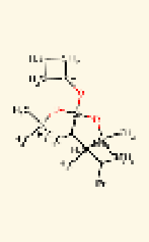 C[C](C(C)C)C(C)(C)C(C)[Si](O[SiH]1[SiH2][SiH2][SiH2]1)(O[Si](C)(C)C)O[Si](C)(C)C